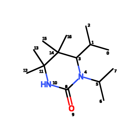 CC(C)C1N(C(C)C)C(=O)NC(C)(C)C1(C)C